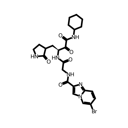 O=C(CNC(=O)c1cn2cc(Br)ccc2n1)N[C@@H](CC1CCNC1=O)C(=O)C(=O)NC1CCCCC1